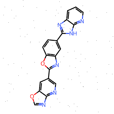 c1cnc2[nH]c(-c3ccc4oc(-c5cnc6ncoc6c5)nc4c3)nc2c1